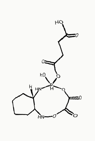 O=C(O)CCC(=O)O[PH]1(O)N[C@H]2CCCCC2NOC(=O)C(=O)O1